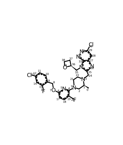 C[C@H]1CN(c2nc(OCc3ccc(Cl)cc3F)ccc2F)CCN1Cc1nc2cc(Cl)nnc2n1C[C@@H]1CCO1